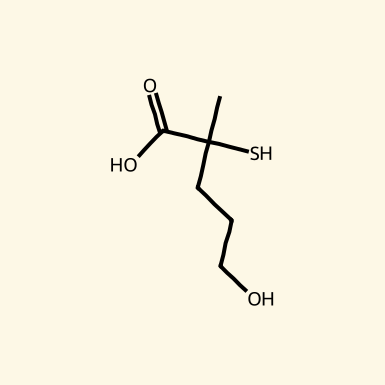 CC(S)(CCCO)C(=O)O